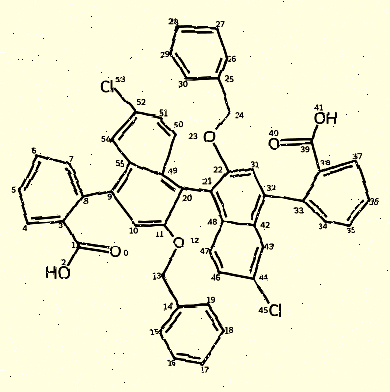 O=C(O)c1ccccc1-c1cc(OCc2ccccc2)c(-c2c(OCc3ccccc3)cc(-c3ccccc3C(=O)O)c3cc(Cl)ccc23)c2ccc(Cl)cc12